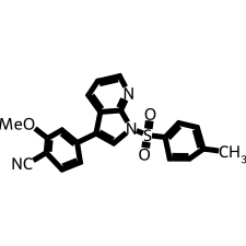 COc1cc(-c2cn(S(=O)(=O)c3ccc(C)cc3)c3ncccc23)ccc1C#N